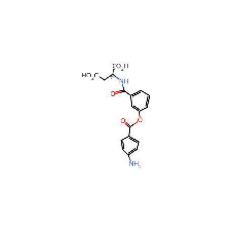 Nc1ccc(C(=O)Oc2cccc(C(=O)N[C@@H](CC(=O)O)C(=O)O)c2)cc1